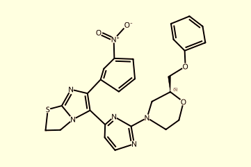 O=[N+]([O-])c1cccc(-c2nc3n(c2-c2ccnc(N4CCO[C@H](COc5ccccc5)C4)n2)CCS3)c1